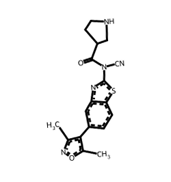 Cc1noc(C)c1-c1ccc2sc(N(C#N)C(=O)C3CCNC3)nc2c1